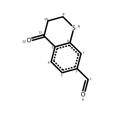 O=Cc1ccc2c(c1)SCCC2=O